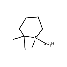 CC1(C)CCCC[Si]1(C)S(=O)(=O)O